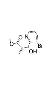 C=C(C(=O)OC)C(O)c1ncccc1Br